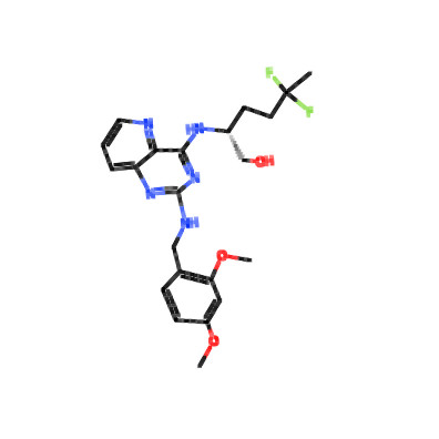 COc1ccc(CNc2nc(N[C@@H](CO)CCC(C)(F)F)c3ncccc3n2)c(OC)c1